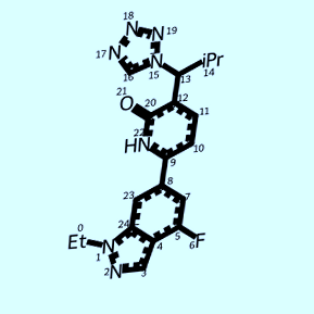 CCn1ncc2c(F)cc(-c3ccc(C(C(C)C)n4cnnn4)c(=O)[nH]3)cc21